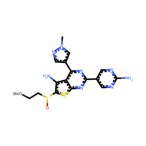 COCC[S+]([O-])c1sc2nc(-c3cnc(N)nc3)nc(-c3cnn(C)c3)c2c1N